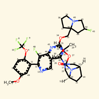 COc1ccc(OC(F)(F)F)c(-c2ncc3c(N4C[C@H]5CC[C@@H](C4)N5C(=O)OC(C)(C)C)nc(OCC45CCCN4CC(F)C5)nc3c2F)c1